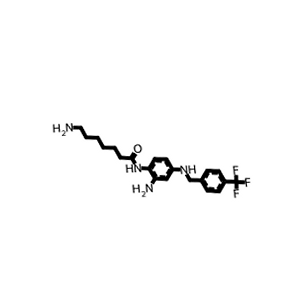 NCCCCCCC(=O)Nc1ccc(NCc2ccc(C(F)(F)F)cc2)cc1N